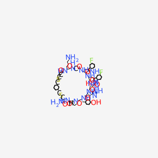 NCCCC[C@@H]1NC(=O)CCSCc2cccc(c2)CSC[C@@H](C(N)=O)NC(=O)[C@@H]2CCCN2C(=O)[C@@H](Cc2ccc(O)cc2)NC(=O)[C@H](Cc2c[nH]cn2)NC(=O)[C@H](CC(=O)O)NC(=O)[C@H](Cc2c[nH]c3ccc(F)cc23)NC(=O)[C@H](Cc2c[nH]c3ccc(F)cc23)NC(=O)CNC1=O